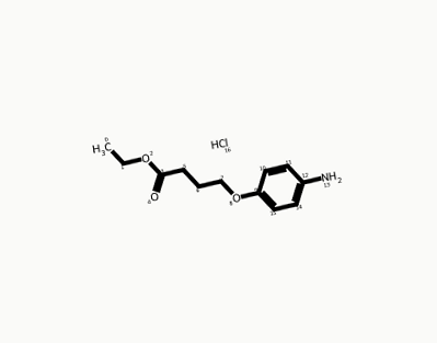 CCOC(=O)CCCOc1ccc(N)cc1.Cl